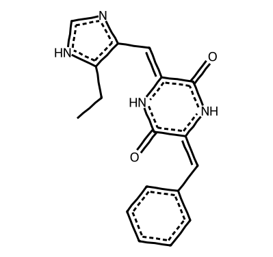 CCc1[nH]cnc1C=c1[nH]c(=O)c(=Cc2ccccc2)[nH]c1=O